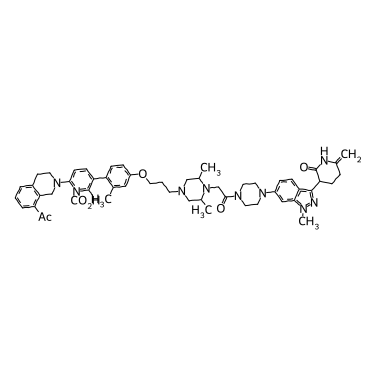 C=C1CCC(c2nn(C)c3cc(N4CCN(C(=O)CN5C(C)CN(CCCOc6ccc(-c7ccc(N8CCc9cccc(C(C)=O)c9C8)nc7C(=O)O)c(C)c6)CC5C)CC4)ccc23)C(=O)N1